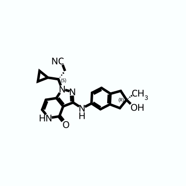 C[C@@]1(O)Cc2ccc(Nc3nn([C@@H](CC#N)C4CC4)c4cc[nH]c(=O)c34)cc2C1